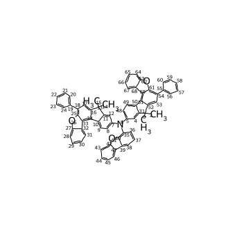 CC1(C)c2cc(N(c3ccc4c(c3)C(C)(C)c3cc(-c5ccccc5)c5oc6ccccc6c5c3-4)c3cccc4c3oc3ccccc34)ccc2-c2c1cc(-c1ccccc1)c1oc3ccccc3c21